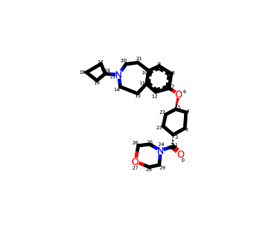 O=C([C@H]1CC[C@H](Oc2ccc3c(c2)CCN(C2CCC2)CC3)CC1)N1CCOCC1